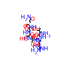 CC(C)[C@H](N)C(=O)N[C@@H](CCCNC(=N)N)C(=O)N[C@H](C(=O)N[C@H](C(=O)N[C@@H](CO)C(=O)N[C@H]([C]=O)CCC(N)=O)[C@@H](C)O)[C@@H](C)O